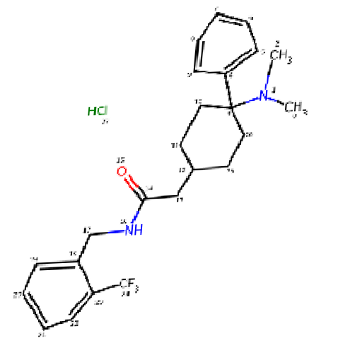 CN(C)C1(c2ccccc2)CCC(CC(=O)NCc2ccccc2C(F)(F)F)CC1.Cl